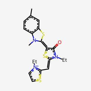 CCn1c(=O)/c(=C2\Sc3cc(C)ccc3N2C)s/c1=C\c1scc[n+]1CC